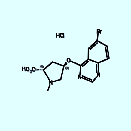 CN1C[C@H](Oc2ncnc3ccc(Br)cc23)C[C@H]1C(=O)O.Cl